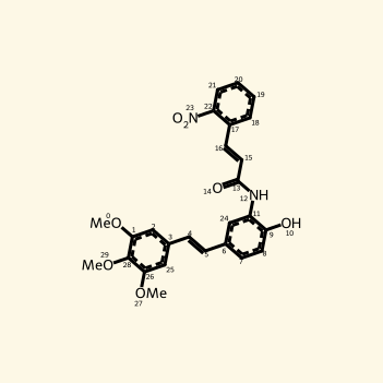 COc1cc(C=Cc2ccc(O)c(NC(=O)/C=C/c3ccccc3[N+](=O)[O-])c2)cc(OC)c1OC